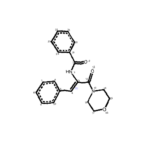 O=C(N/C(=C\c1ccccc1)C(=O)N1CCOCC1)c1ccccc1